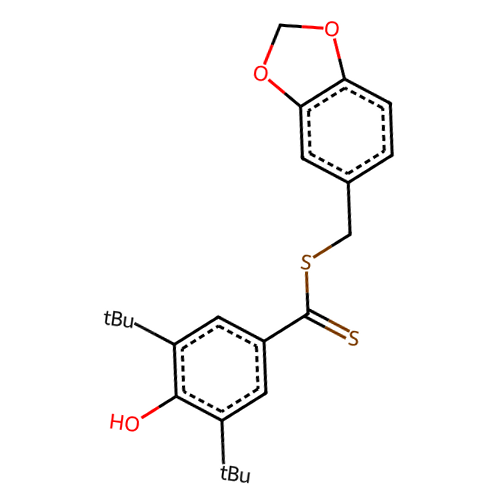 CC(C)(C)c1cc(C(=S)SCc2ccc3c(c2)OCO3)cc(C(C)(C)C)c1O